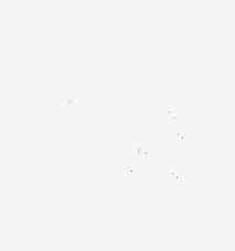 Cl.N=C(NN=Cc1ccc(F)cc1)NN=Cc1ccc(Cl)cc1